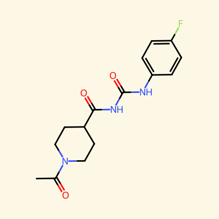 CC(=O)N1CCC(C(=O)NC(=O)Nc2ccc(F)cc2)CC1